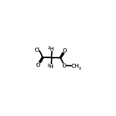 [2H]C([2H])(C(=O)Cl)C(=O)OC